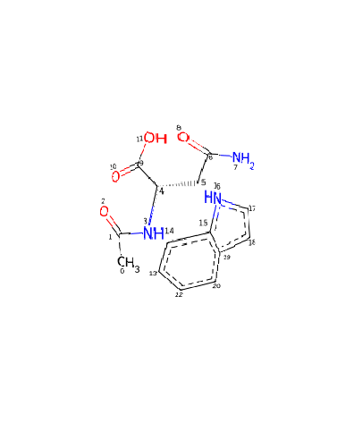 CC(=O)N[C@@H](CC(N)=O)C(=O)O.c1ccc2[nH]ccc2c1